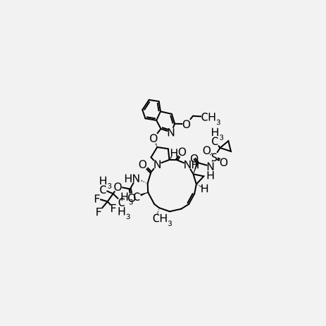 CCOc1cc2ccccc2c(O[C@@H]2C[C@H]3C(=O)N[C@]4(C(=O)NS(=O)(=O)C5(C)CC5)C[C@H]4/C=C\CC[C@H](C)C[C@@H](C)[C@H](NC(=O)OC(C)(C)C(F)(F)F)C(=O)N3C2)n1